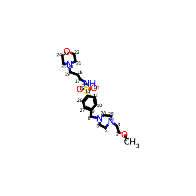 COCCN1CCN(Cc2ccc(S(=O)(=O)NCCCN3CCOCC3)cc2)CC1